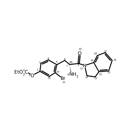 CCOC(=O)Oc1ccc(C[C@@H](N)C(=O)N2CCc3ccccc32)c(Br)c1